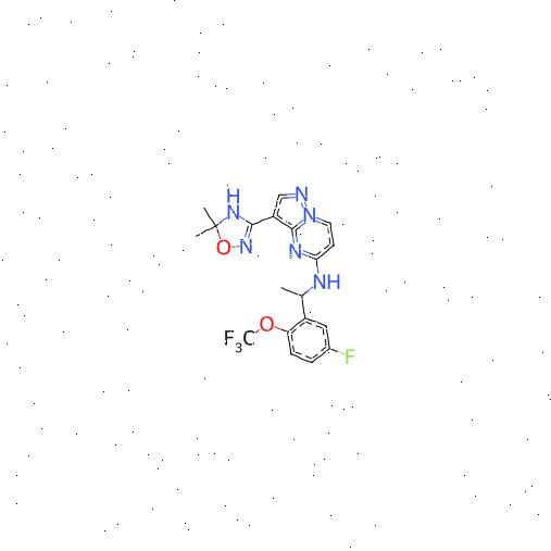 CC(Nc1ccn2ncc(C3=NOC(C)(C)N3)c2n1)c1cc(F)ccc1OC(F)(F)F